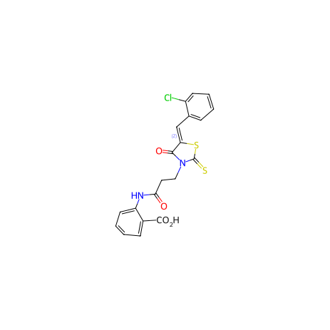 O=C(CCN1C(=O)/C(=C/c2ccccc2Cl)SC1=S)Nc1ccccc1C(=O)O